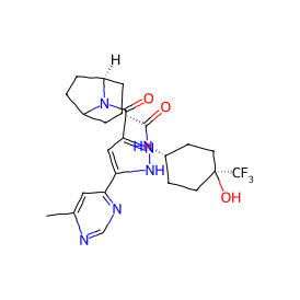 Cc1cc(-c2cc(C(=O)N3C4CC[C@H]3C[C@H](C(=O)N[C@H]3CC[C@@](O)(C(F)(F)F)CC3)C4)n[nH]2)ncn1